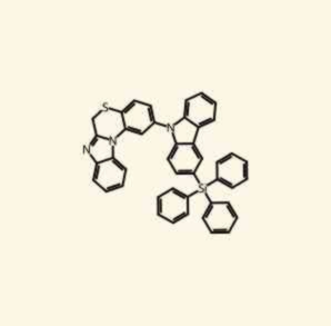 c1ccc([Si](c2ccccc2)(c2ccccc2)c2ccc3c(c2)c2ccccc2n3-c2ccc3c(c2)-n2c(nc4ccccc42)CS3)cc1